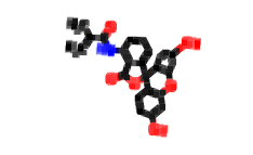 C=C(C)C(=O)Nc1cccc2c1C(=O)OC21c2ccc(O)cc2Oc2cc(O)ccc21